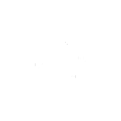 Bc1cc(N(C)C)c(B)c(BC)c1C